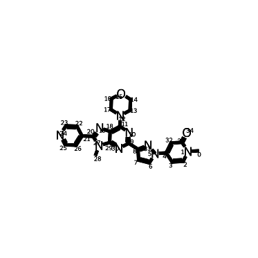 Cn1ccc(-n2ccc(-c3nc(N4CCOCC4)c4nc(-c5ccncc5)n(C)c4n3)n2)cc1=O